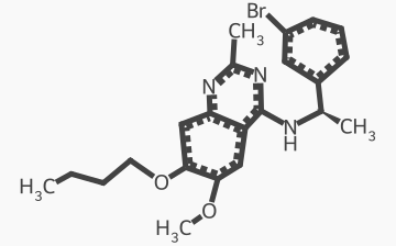 CCCCOc1cc2nc(C)nc(N[C@H](C)c3cccc(Br)c3)c2cc1OC